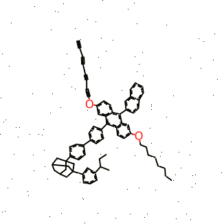 C#CC#CC#CC#COc1ccc2c(-c3ccc4ccccc4c3)c3cc(OCCCCCCCC)ccc3c(-c3ccc(-c4ccc(C56CC7CC(C5)CC(c5cccc(C(C)CC)c5)(C7)C6)cc4)cc3)c2c1